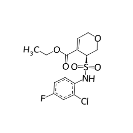 CCOC(=O)C1=CCOC[C@H]1S(=O)(=O)Nc1ccc(F)cc1Cl